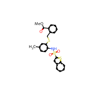 COC(=O)c1ccccc1CSc1cc(C)ccc1NS(=O)(=O)c1cc2ccccc2s1